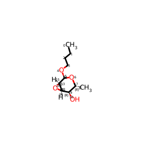 CCCCO[C@H]1O[C@H](C)[C@@H](O)[C@H]2O[C@@H]12